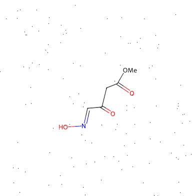 COC(=O)CC(=O)C=NO